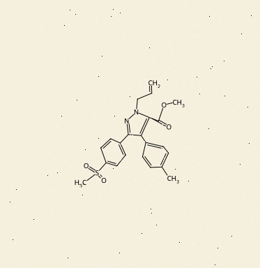 C=CCn1nc(-c2ccc(S(C)(=O)=O)cc2)c(-c2ccc(C)cc2)c1C(=O)OC